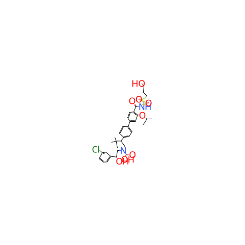 CC(C)Oc1cc(-c2ccc(C(CN(C[C@H](O)c3cccc(Cl)c3)C(=O)O)C(C)(C)C)cc2)ccc1C(=O)NS(=O)(=O)CCCO